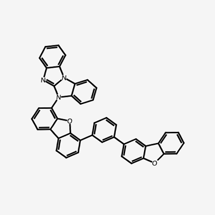 c1cc(-c2ccc3oc4ccccc4c3c2)cc(-c2cccc3c2oc2c(-n4c5ccccc5n5c6ccccc6nc45)cccc23)c1